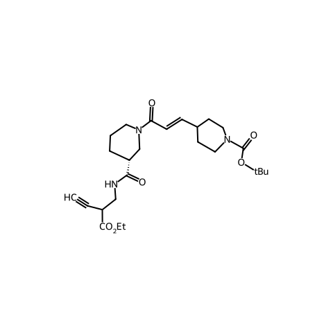 C#CC(CNC(=O)[C@@H]1CCCN(C(=O)/C=C/C2CCN(C(=O)OC(C)(C)C)CC2)C1)C(=O)OCC